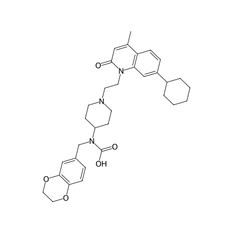 Cc1cc(=O)n(CCN2CCC(N(Cc3ccc4c(c3)OCCO4)C(=O)O)CC2)c2cc(C3CCCCC3)ccc12